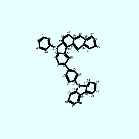 c1ccc(-n2c3ccc(-c4ccc(-n5c6ccccc6c6ccccc65)cc4)cc3c3c4cc5ccccc5cc4ccc32)cc1